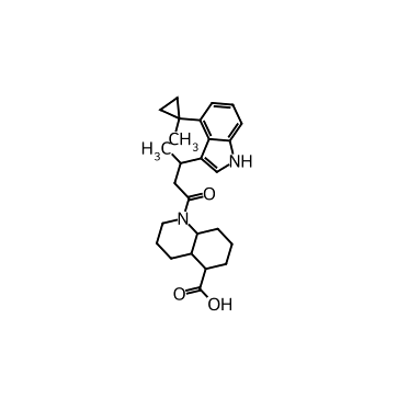 CC(CC(=O)N1CCCC2C(C(=O)O)CCCC21)c1c[nH]c2cccc(C3(C)CC3)c12